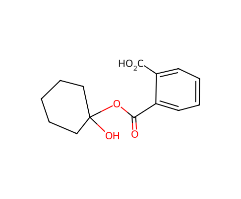 O=C(O)c1ccccc1C(=O)OC1(O)CCCCC1